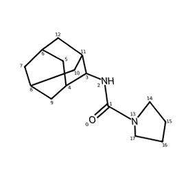 O=C(NC1C2CC3CC(C2)CC1C3)N1CCCC1